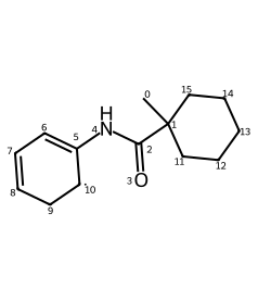 CC1(C(=O)NC2=CC=CC[CH]2)CCCCC1